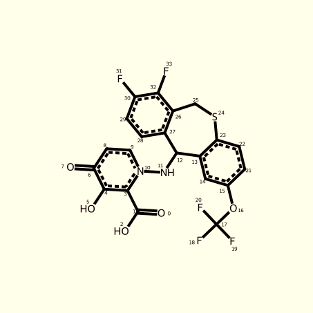 O=C(O)c1c(O)c(=O)ccn1NC1c2cc(OC(F)(F)F)ccc2SCc2c1ccc(F)c2F